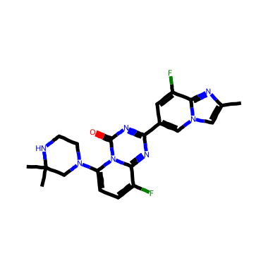 Cc1cn2cc(-c3nc(=O)n4c(N5CCNC(C)(C)C5)ccc(F)c4n3)cc(F)c2n1